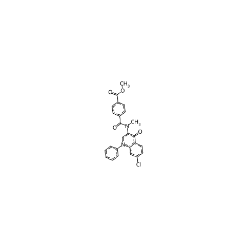 COC(=O)c1ccc(C(=O)N(C)c2cn(-c3ccccc3)c3cc(Cl)ccc3c2=O)cc1